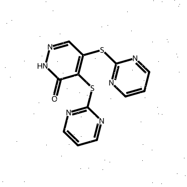 O=c1[nH]ncc(Sc2ncccn2)c1Sc1ncccn1